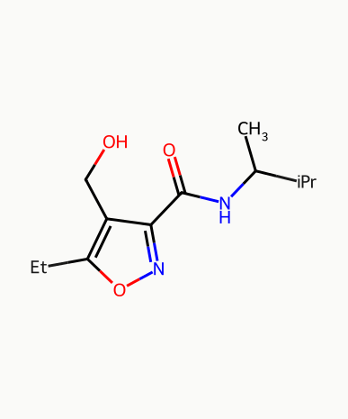 CCc1onc(C(=O)NC(C)C(C)C)c1CO